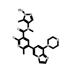 Cc1nc(F)c(C(=O)N(C)c2cnn(C(C)(C)C)c2I)cc1-c1cc(N2CCOCC2)c2nccn2c1